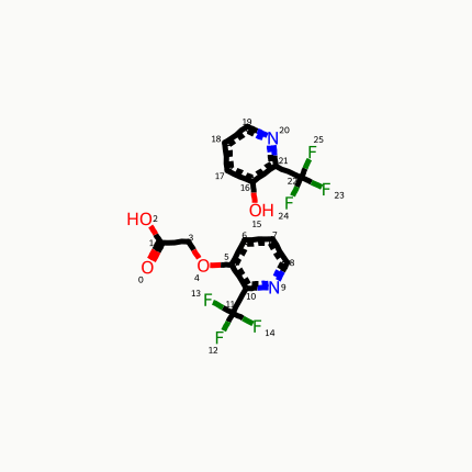 O=C(O)COc1cccnc1C(F)(F)F.Oc1cccnc1C(F)(F)F